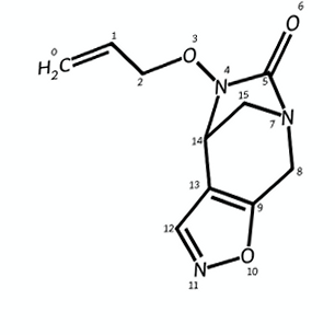 C=CCON1C(=O)N2Cc3oncc3C1C2